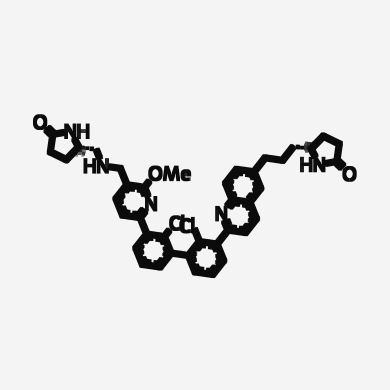 COc1nc(-c2cccc(-c3cccc(-c4ccc5cc(CCC[C@@H]6CCC(=O)N6)ccc5n4)c3Cl)c2Cl)ccc1CNC[C@@H]1CCC(=O)N1